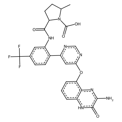 CC1CCC(C(=O)Nc2cc(C(F)(F)F)ccc2-c2cc(Oc3cccc4[nH]c(=O)c(N)nc34)ncn2)N1C(=O)O